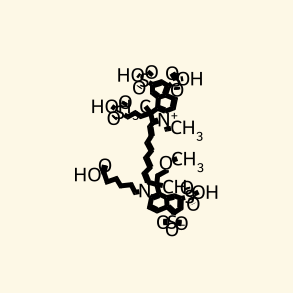 CC[N+]1=C(/C=C/C=C/C=C/C=C2/N(CCCCCC(=O)O)c3ccc4c(S(=O)(=O)[O-])cc(S(=O)(=O)O)cc4c3C2(C)CCOC)C(C)(CCCS(=O)(=O)O)c2c1ccc1c(S(=O)(=O)O)cc(S(=O)(=O)O)cc21